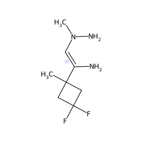 CN(N)/C=C(\N)C1(C)CC(F)(F)C1